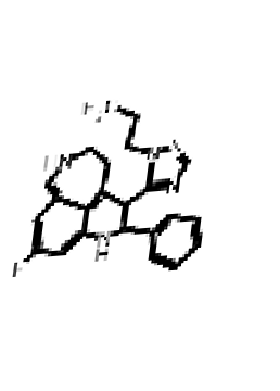 CCCn1ncnc1C1C2=c3c(cc(F)cc3=CNCC2)NC1c1ccccc1